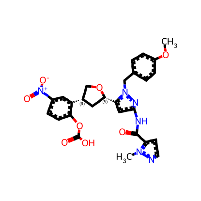 COc1ccc(Cn2nc(NC(=O)c3ccnn3C)cc2[C@@H]2C[C@H](c3cc([N+](=O)[O-])ccc3OC(=O)O)CO2)cc1